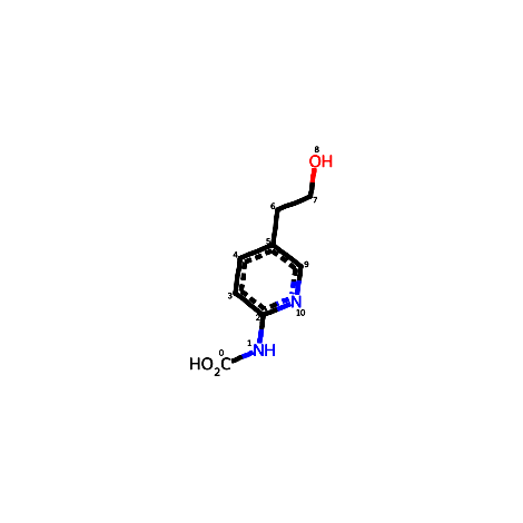 O=C(O)Nc1ccc(CCO)cn1